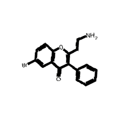 NCCc1oc2ccc(Br)cc2c(=O)c1-c1ccccc1